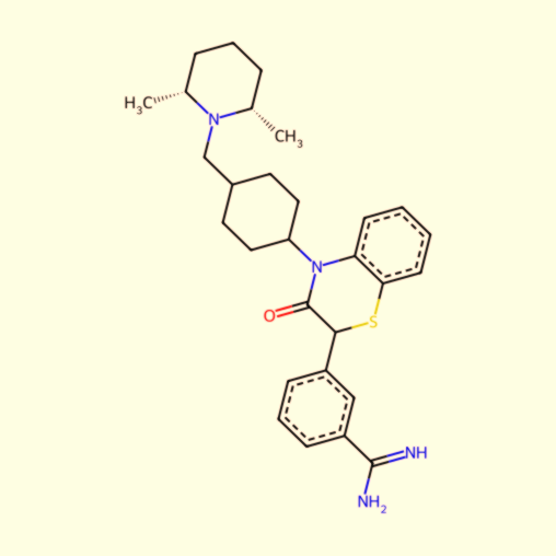 C[C@@H]1CCC[C@H](C)N1CC1CCC(N2C(=O)C(c3cccc(C(=N)N)c3)Sc3ccccc32)CC1